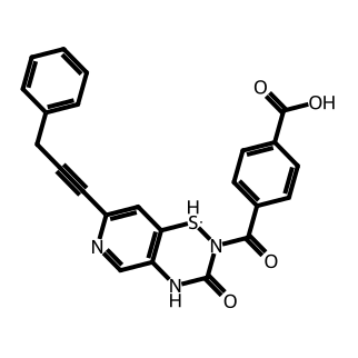 O=C(O)c1ccc(C(=O)N2[SH]c3cc(C#CCc4ccccc4)ncc3NC2=O)cc1